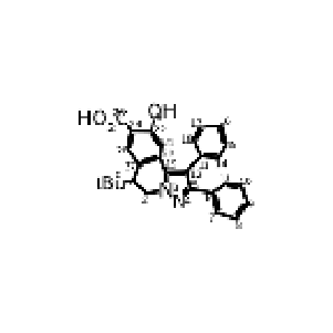 CC(C)(C)C1Cn2nc(-c3ccccc3)c(-c3ccccc3)c2-c2cc(O)c(C(=O)O)cc21